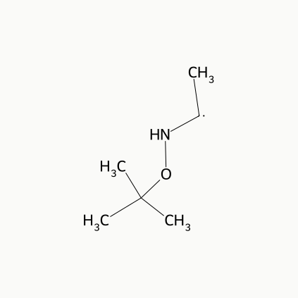 C[CH]NOC(C)(C)C